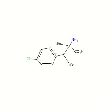 CCC(C)C(N)(C(=O)O)C(c1ccc(Cl)cc1)C(C)C